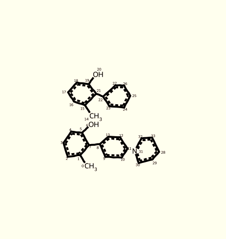 Cc1cccc(O)c1-c1ccccc1.Cc1cccc(O)c1-c1ccccc1.c1ccncc1